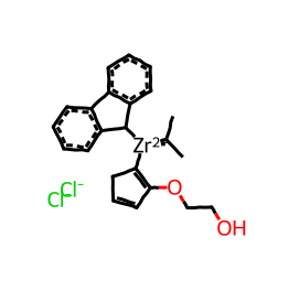 C[C](C)=[Zr+2]([C]1=C(OCCO)C=CC1)[CH]1c2ccccc2-c2ccccc21.[Cl-].[Cl-]